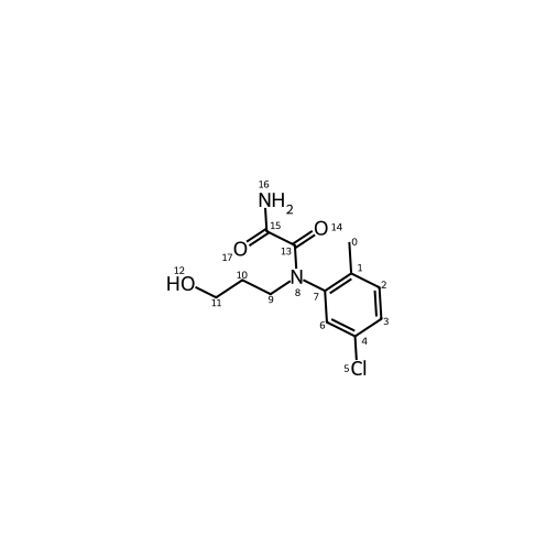 Cc1ccc(Cl)cc1N(CCCO)C(=O)C(N)=O